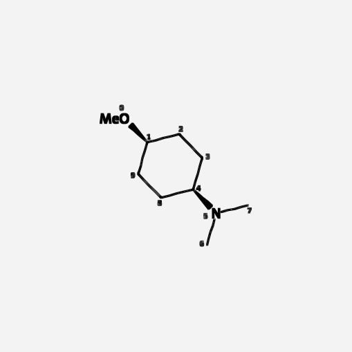 CO[C@H]1CC[C@@H](N(C)C)CC1